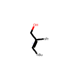 CCCC/C=C(/CO)CCC